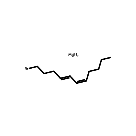 CCCC/C=C\C=C\CCCBr.[MgH2]